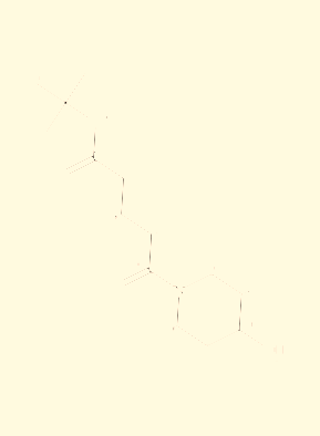 CC(C)(C)OC(=O)CCCC(=O)N1CCC(O)CC1